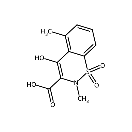 Cc1cccc2c1C(O)=C(C(=O)O)N(C)S2(=O)=O